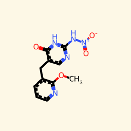 COc1ncccc1Cc1cnc(N[N+](=O)[O-])[nH]c1=O